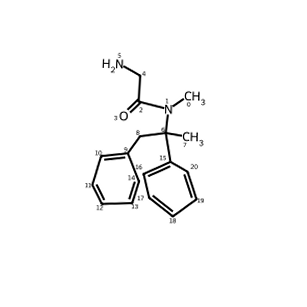 CN(C(=O)CN)C(C)(Cc1ccccc1)c1ccccc1